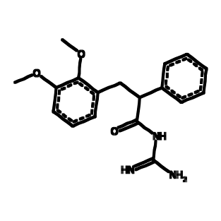 COc1cccc(CC(C(=O)NC(=N)N)c2ccccc2)c1OC